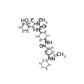 Cc1nn(C2CCCCC2)c2sc(C(=O)NC3CCC(NC(=O)N(C)C(Cc4ccccc4)C(=O)O)CC3)cc12